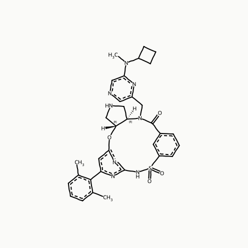 Cc1cccc(C)c1-c1cc2nc(n1)NS(=O)(=O)c1cccc(c1)C(=O)N(Cc1cncc(N(C)C3CCC3)n1)[C@@H]1CNC[C@H]1O2